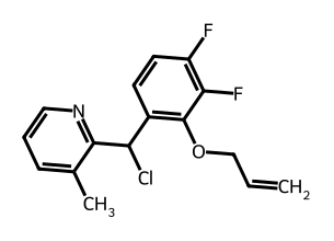 C=CCOc1c(C(Cl)c2ncccc2C)ccc(F)c1F